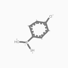 OB(S)c1ccc(Cl)cc1